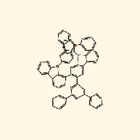 c1ccc(-c2cc(-c3cc4c5ccccc5n(-c5ccccc5)c4cc3-c3cccc4c5ccccc5n(-c5ccc6c(c5)c5ccccc5n6-c5ccccc5)c34)nc(-c3ccccc3)n2)cc1